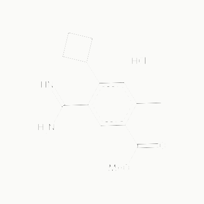 COC(=O)c1cc(C(=N)N)c(C2CCC2)cc1C.Cl